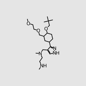 CNCCN(C)Cc1c[nH]nc1C1CCC(OCC(C)(C)C)C(COCCOC)C1